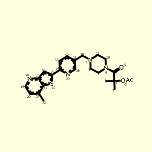 CC(=O)OC(C)(C)C(=O)N1CCN(Cc2ccc(-c3cc4nccc(C)c4s3)nc2)CC1